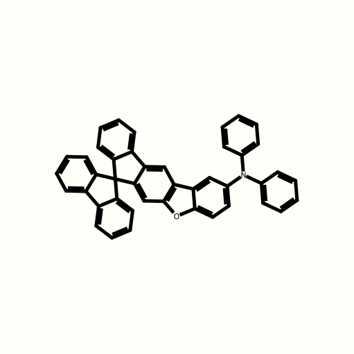 c1ccc(N(c2ccccc2)c2ccc3oc4cc5c(cc4c3c2)-c2ccccc2C52c3ccccc3-c3ccccc32)cc1